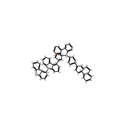 c1ccc(-c2ccccc2N(c2ccc(-c3ccc4c(ccc5ccccc54)c3)cc2)c2cccc(-c3cccc4c3c3ccccc3n4-c3cccc4oc5ccccc5c34)c2)cc1